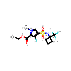 CCOC(=O)c1c(F)c(S(=O)(=O)NC2(C(F)(F)F)CCC2)cn1C